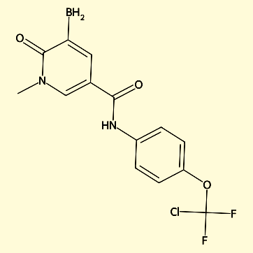 Bc1cc(C(=O)Nc2ccc(OC(F)(F)Cl)cc2)cn(C)c1=O